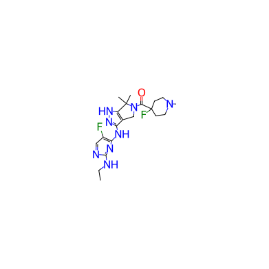 CCNc1ncc(F)c(Nc2n[nH]c3c2CN(C(=O)C2(F)CCN(C)CC2)C3(C)C)n1